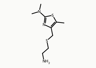 Cc1sc(N(C)C)nc1CSCCN